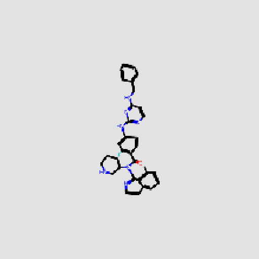 Cc1cccc2ccnc(N(C(=O)c3ccc(Nc4nccc(NCc5ccccc5)n4)cc3F)[C@@H]3CCCNC3)c12